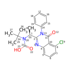 C[C@@H](c1nc2cccc(Cl)c2c(=O)n1-c1ccccc1)N(C(=O)O)C(C)(C)C